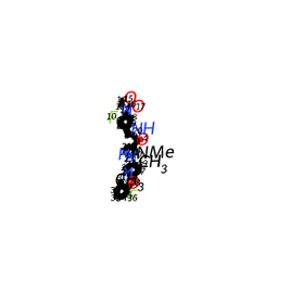 CNc1c(C(=O)c2cc3cc(F)c(N4CCOC4=O)cc3[nH]2)cnn1-c1cnc(Oc2c(C)cccc2F)cc1C